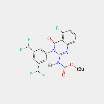 CCN(C(=O)OC(C)(C)C)c1nc2cccc(F)c2c(=O)n1-c1cc(C(F)F)cc(C(F)F)c1